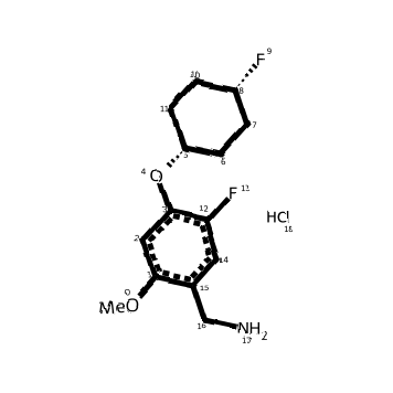 COc1cc(O[C@H]2CC[C@@H](F)CC2)c(F)cc1CN.Cl